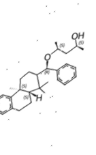 C[C@H](O)C[C@H](C)O[C@@H](c1ccccc1)C1CC[C@]2(C)c3ccccc3CC[C@H]2C1(C)C